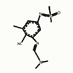 Cc1cc(N=S(C)(C)=O)cc(N=CN(C)C)c1C#N